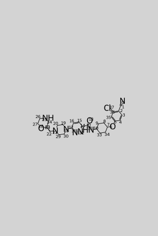 N#Cc1ccc(OC2CCC(NC(=O)c3ccc(N4CCN(C[C@@H]5CNCCO5)CC4)nn3)CC2)cc1Cl